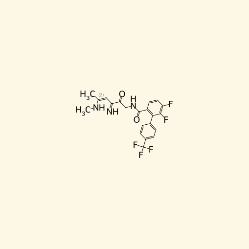 CN/C(C)=C\C(=N)C(=O)CNC(=O)c1ccc(F)c(F)c1-c1ccc(C(F)(F)F)cc1